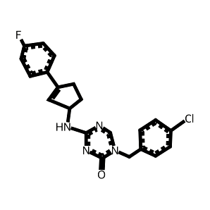 O=c1nc(NC2C=C(c3ccc(F)cc3)CC2)ncn1Cc1ccc(Cl)cc1